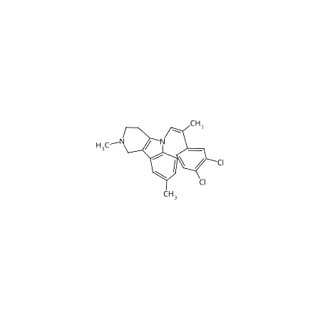 C/C(=C/n1c2c(c3cc(C)ccc31)CN(C)CC2)c1ccc(Cl)c(Cl)c1